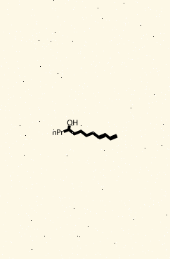 C=CC=CCCCCC(O)CCC